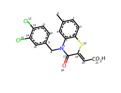 Cc1ccc2c(c1)N(Cc1ccc(Cl)c(Cl)c1)C(=O)/C(=C/C(=O)O)S2